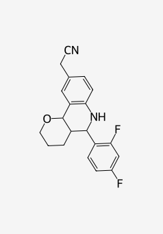 N#CCc1ccc2c(c1)C1OCCCC1C(c1ccc(F)cc1F)N2